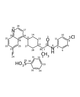 C[C@@H](C(=O)Nc1ccc(Cl)cc1)C1CCC(c2ccnc3ccc(F)cc23)CC1.O=S(=O)(O)c1ccccc1